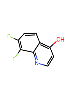 Oc1ccnc2c(F)c(F)ccc12